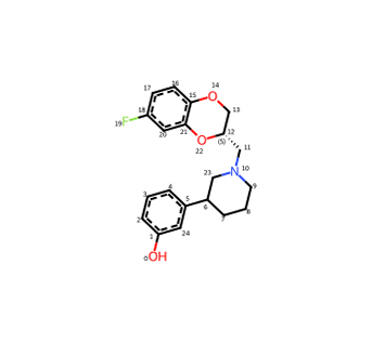 Oc1cccc(C2CCCN(C[C@H]3COc4ccc(F)cc4O3)C2)c1